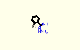 CCc1ccccc1C(=N)NN